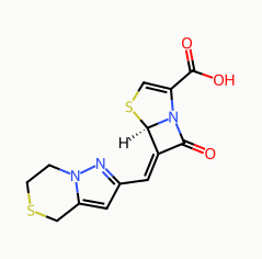 O=C(O)C1=CS[C@@H]2/C(=C\c3cc4n(n3)CCSC4)C(=O)N12